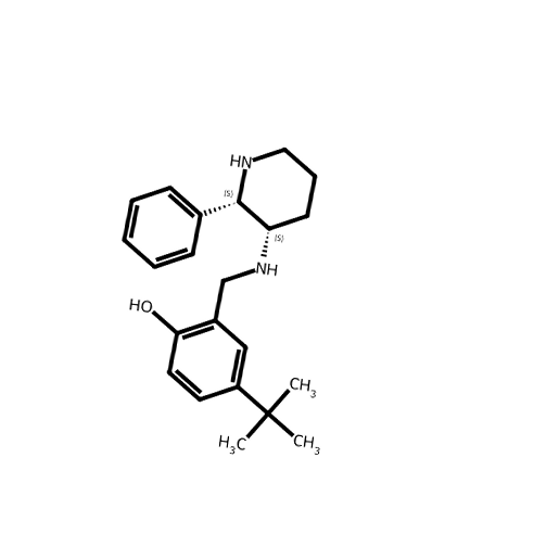 CC(C)(C)c1ccc(O)c(CN[C@H]2CCCN[C@H]2c2ccccc2)c1